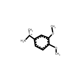 COc1ccc([C@@H](C)N)cc1OC